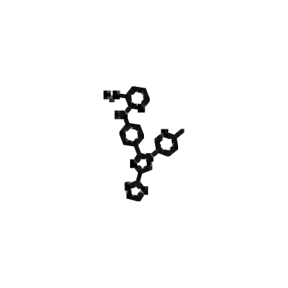 Cc1ccc(-n2cc(-c3nccs3)nc2-c2ccc(Nc3ncccc3N)cc2)cn1